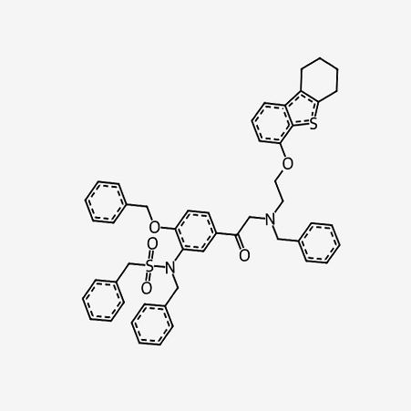 O=C(CN(CCOc1cccc2c3c(sc12)CCCC3)Cc1ccccc1)c1ccc(OCc2ccccc2)c(N(Cc2ccccc2)S(=O)(=O)Cc2ccccc2)c1